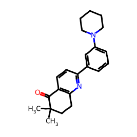 CC1(C)CCc2nc(-c3cccc(N4CCCCC4)c3)ccc2C1=O